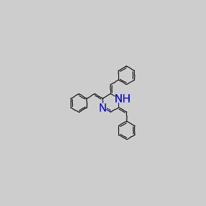 C1=NC(=Cc2ccccc2)C(=Cc2ccccc2)NC1=Cc1ccccc1